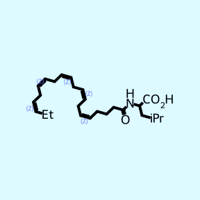 CC/C=C\C/C=C\C/C=C\C/C=C\C/C=C\CCCC(=O)NC(CC(C)C)C(=O)O